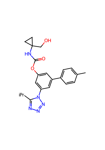 Cc1ccc(-c2cc(OC(=O)NC3(CO)CC3)cc(-n3nnnc3C(C)C)c2)cc1